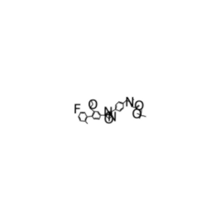 COCc1cc(-c2nc(-c3ccc(CN(C)CC(=O)OC(C)(C)C)cc3)no2)ccc1-c1cc(F)ccc1C